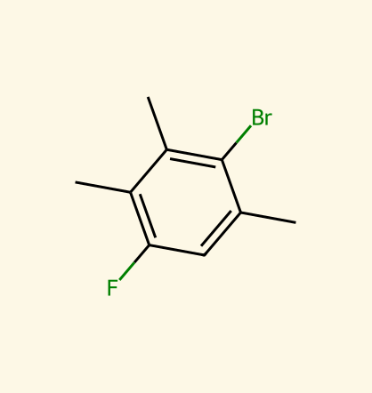 Cc1cc(F)c(C)c(C)c1Br